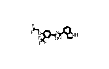 FC(F)COc1ccc(-c2nc(-c3cccc4[nH]ccc34)no2)cc1C(F)(F)F